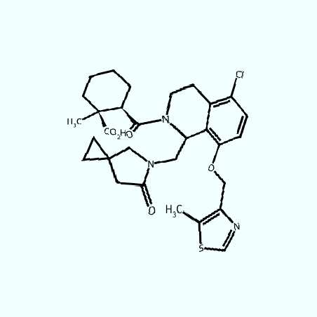 Cc1scnc1COc1ccc(Cl)c2c1C(CN1CC3(CC3)CC1=O)N(C(=O)[C@@H]1CCCC[C@]1(C)C(=O)O)CC2